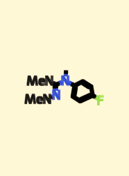 CNN=C(NC)N(C)c1ccc(F)cc1